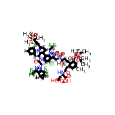 Cc1cc(CC(=O)N[C@H](CC(=O)O)C(=O)O)c(C(C)(C)CC(=O)N(Cc2nn(CC(F)(F)F)c3c(-c4ccc(C#CC(C)(C)S(C)(=O)=O)nc4[C@H](Cc4cc(F)cc(F)c4)NC(=O)Cn4nc(C(F)(F)F)c5c4C(F)(F)[C@@H]4C[C@H]54)ccc(Cl)c23)[SH](=O)=O)c(OP(=O)(OC(C)C)OC(C)C)c1